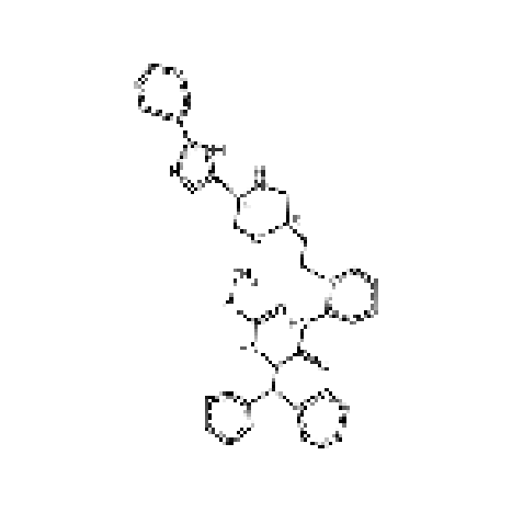 COC(=O)NC(C(=O)Nc1ccccc1CC[C@@H]1CN[C@H](c2cnc(-c3ccccc3)[nH]2)CO1)C(c1ccccc1)c1ccccc1